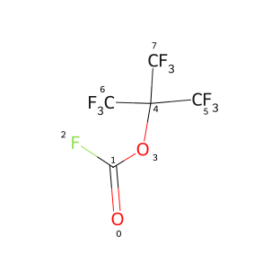 O=C(F)OC(C(F)(F)F)(C(F)(F)F)C(F)(F)F